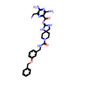 Nc1nc(N)c(C(=O)/N=C2\NCC3(CCN(C(=O)NCc4cccc(OCc5ccccc5)c4)CC3)N2)nc1CI